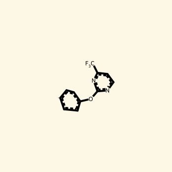 FC(F)(F)c1ccnc(Oc2cc[c]cc2)n1